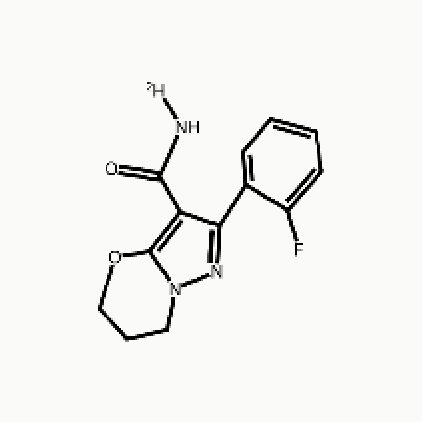 [2H]NC(=O)c1c(-c2ccccc2F)nn2c1OCCC2